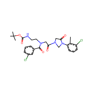 Cc1c(Cl)cccc1N1CN(C(=O)CN(CCNC(=O)OC(C)(C)C)C(=O)c2cccc(Cl)c2)CC1=O